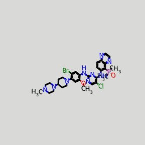 COc1cc(N2CCC(N3CCN(C)CC3)CC2)c(Br)cc1Nc1ncc(Cl)c(Nc2ccc3nccnc3c2P(C)(C)=O)n1